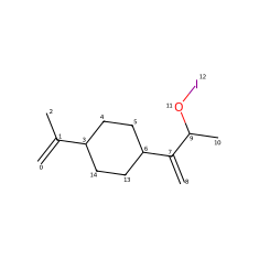 C=C(C)C1CCC(C(=C)C(C)OI)CC1